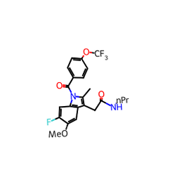 CCCNC(=O)Cc1c(C)n(C(=O)c2ccc(OC(F)(F)F)cc2)c2cc(F)c(OC)cc12